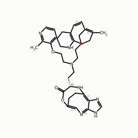 C/C1=C(CCCCN(CCOc2cccnc2C)CC[C@@H]2N\C3=c4/nc[nH]/c4=N/C=C(/CC3)OC2=O)\C=C/C2=C(CC1)NCCC2